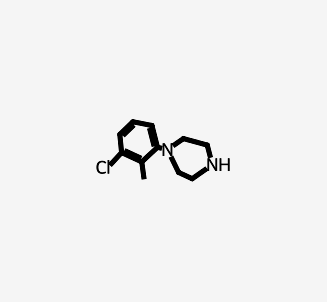 Cc1c(Cl)cccc1N1CCNCC1